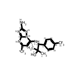 CC(C)(O)[C@@H](Nc1cc(C(F)(F)F)nc2nc(N)nn12)c1ccc(C(F)(F)F)cc1